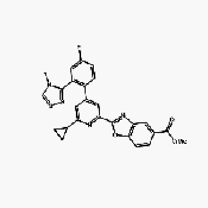 COC(=O)c1ccc2oc(-c3cc(-c4ccc(F)cc4-c4nncn4C)cc(C4CC4)n3)nc2c1